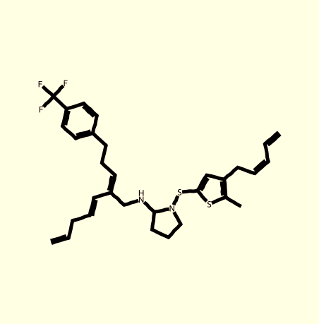 C=C/C=C\Cc1cc(SN2CCCC2NCC(/C=C/CC=C)=C/CCc2ccc(C(F)(F)F)cc2)sc1C